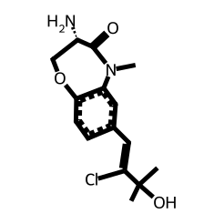 CN1C(=O)[C@@H](N)COc2ccc(/C=C(\Cl)C(C)(C)O)cc21